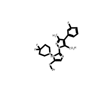 Cc1nn(C2=NC=C(SC(C)C)[SH]2N2CCC(F)(F)CC2)c(C(=O)O)c1-c1cccc(F)c1